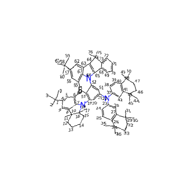 CC(C)(C)c1cc2c3c(c1)C1(C)CCCCC1(C)N3c1cc(N(c3ccc4c(c3)C(C)(C)CCC4(C)C)c3ccc4c(c3)C(C)(C)CCC4(C)C)cc3c1B2c1cc(C(C)(C)C)cc2c4c(n-3c12)-c1ccccc1C4(C)C